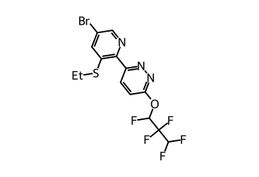 CCSc1cc(Br)cnc1-c1ccc(OC(F)C(F)(F)C(F)F)nn1